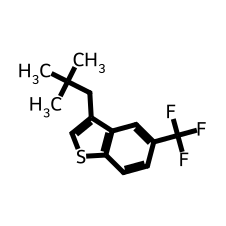 CC(C)(C)Cc1csc2ccc(C(F)(F)F)cc12